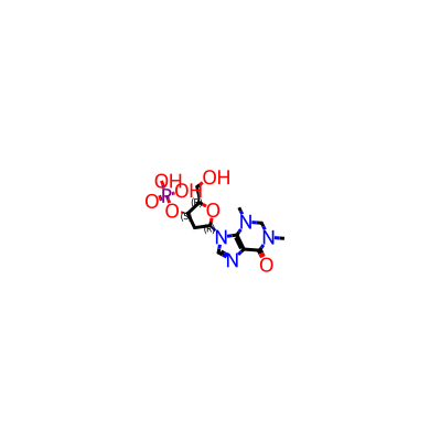 CN1CN(C)c2c(ncn2[C@H]2C[C@H](OP(=O)(O)O)[C@@H](CO)O2)C1=O